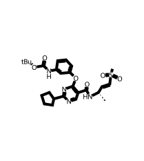 C[C@@H](/C=C/S(C)(=O)=O)NC(=O)c1cnc(C2CCCC2)nc1Oc1cccc(NC(=O)OC(C)(C)C)c1